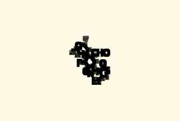 CC[C@@H]1CSC(=O)N1c1noc2c(F)c(N3C[C@@H](C)O[C@H](C)C3)c(C=O)cc12